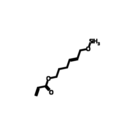 C=CC(=O)OCCCC=CCO[SiH3]